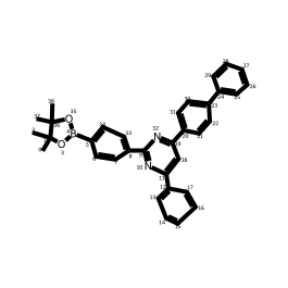 CC1(C)OB(c2ccc(-c3nc(-c4ccccc4)cc(-c4ccc(-c5ccccc5)cc4)n3)cc2)OC1(C)C